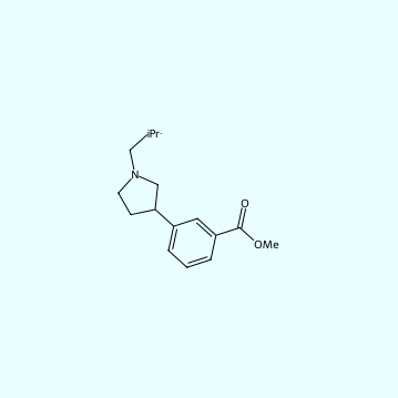 COC(=O)c1cccc(C2CCN(C[C](C)C)C2)c1